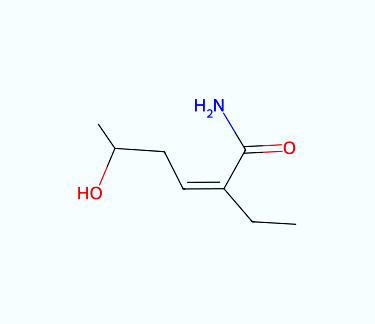 CCC(=CCC(C)O)C(N)=O